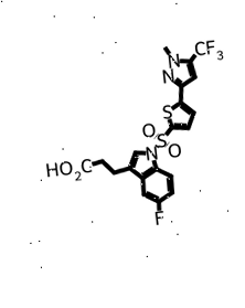 Cn1nc(-c2ccc(S(=O)(=O)n3cc(CCC(=O)O)c4cc(F)ccc43)s2)cc1C(F)(F)F